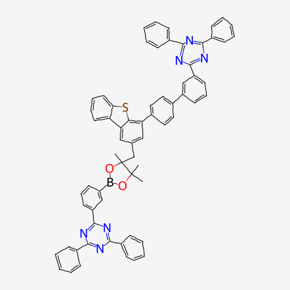 CC1(C)OB(c2cccc(-c3nc(-c4ccccc4)nc(-c4ccccc4)n3)c2)OC1(C)Cc1cc(-c2ccc(-c3cccc(-c4nc(-c5ccccc5)nc(-c5ccccc5)n4)c3)cc2)c2sc3ccccc3c2c1